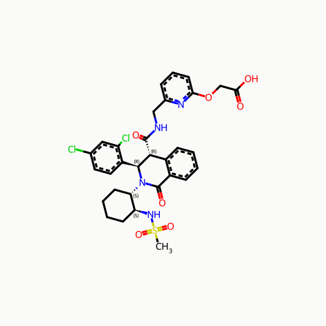 CS(=O)(=O)N[C@H]1CCCC[C@@H]1N1C(=O)c2ccccc2[C@@H](C(=O)NCc2cccc(OCC(=O)O)n2)[C@@H]1c1ccc(Cl)cc1Cl